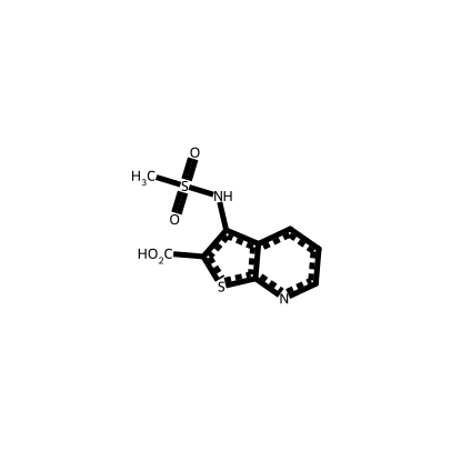 CS(=O)(=O)Nc1c(C(=O)O)sc2ncccc12